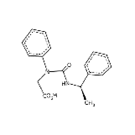 C[C@@H](NC(=O)N(CC(=O)O)c1ccccc1)c1ccccc1